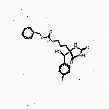 O=C1NC(=O)C(CCCNC(=O)OCc2ccccc2)(C(O)c2ccc(I)cc2)N1